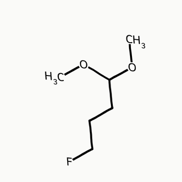 COC(CCCF)OC